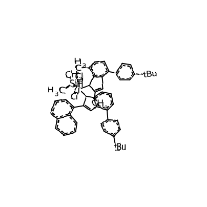 CC1=Cc2c(-c3ccc(C(C)(C)C)cc3)ccc(C)c2[CH]1[Zr]([Cl])([Cl])([CH]1C(c2cccc3ccccc23)=Cc2c(-c3ccc(C(C)(C)C)cc3)cccc21)[SiH](C)C